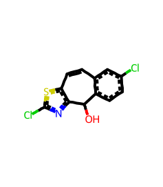 OC1c2ccc(Cl)cc2C=Cc2sc(Cl)nc21